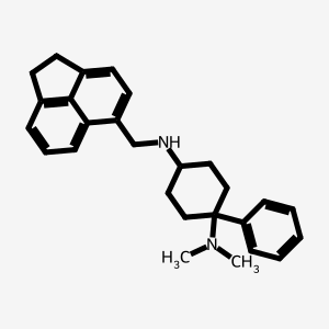 CN(C)C1(c2ccccc2)CCC(NCc2ccc3c4c(cccc24)CC3)CC1